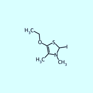 CCOC1=C(C)N(C)C(I)S1